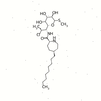 CCCCCCCCC[C@@H]1CCN[C@H](C(=O)N[C@H]([C@H](C)Cl)[C@H]2OC(SC)[C@H](O)C(O)C2O)CC1